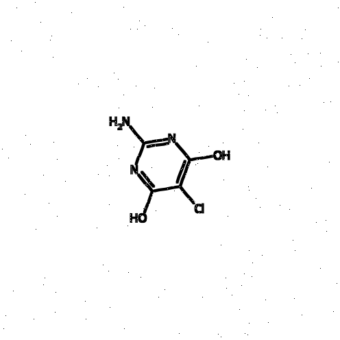 Nc1nc(O)c(Cl)c(O)n1